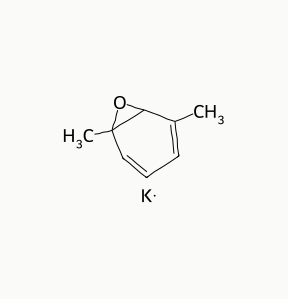 CC1=CC=CC2(C)OC12.[K]